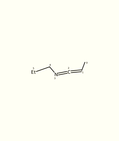 CC=C=NCCC